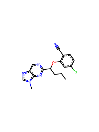 CCCC(Oc1cc(Cl)ccc1C#N)c1ncc2ncn(C)c2n1